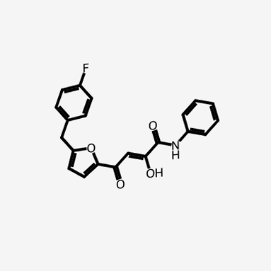 O=C(Nc1ccccc1)C(O)=CC(=O)c1ccc(Cc2ccc(F)cc2)o1